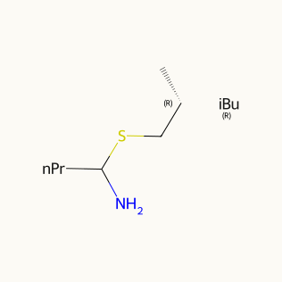 CCCC(N)SC[C@H](C)[C@H](C)CC